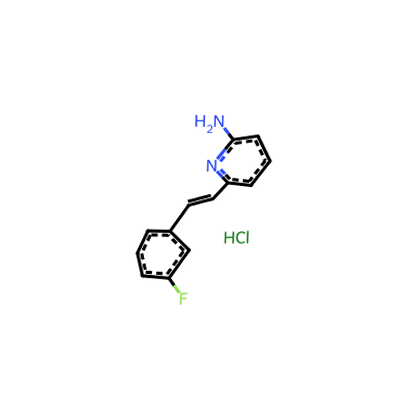 Cl.Nc1cccc(/C=C/c2cccc(F)c2)n1